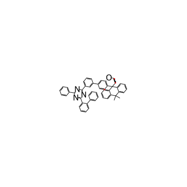 CC1(C)c2ccccc2C2(c3ccccc3Oc3cc(-c4cccc(-c5nc(-c6ccccc6)nc(-c6ccccc6-c6ccccc6)n5)c4)ccc32)c2ccccc21